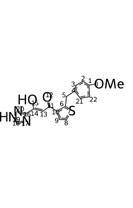 COc1ccc(Cc2sccc2C(=O)C=C(O)c2nc[nH]n2)cc1